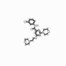 O=C(Nc1cccc(Cl)c1)c1cc(OCCN2CCOCC2)nc(N2CCOCC2)n1